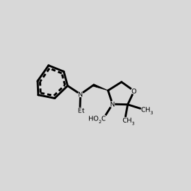 CCN(C[C@H]1COC(C)(C)N1C(=O)O)c1ccccc1